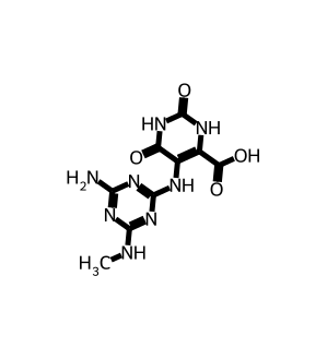 CNc1nc(N)nc(Nc2c(C(=O)O)[nH]c(=O)[nH]c2=O)n1